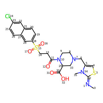 C/N=c1\scc(CN2CCN(C(=O)CCS(=O)(=O)c3ccc4cc(Cl)ccc4c3)C(C(=O)O)C2)n1C